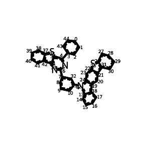 c1ccc(-c2nc(-c3cccc(-n4c5ccccc5c5cc6c(cc54)sc4ccccc46)c3)nc3c2sc2ccccc23)cc1